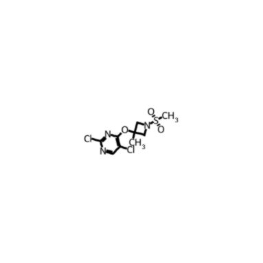 CC1(Oc2nc(Cl)ncc2Cl)CN(S(C)(=O)=O)C1